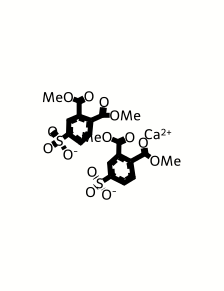 COC(=O)c1ccc(S(=O)(=O)[O-])cc1C(=O)OC.COC(=O)c1ccc(S(=O)(=O)[O-])cc1C(=O)OC.[Ca+2]